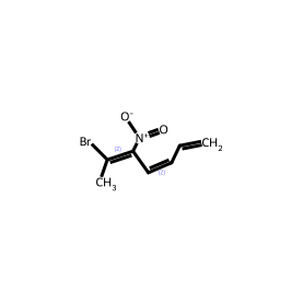 C=C/C=C\C(=C(/C)Br)[N+](=O)[O-]